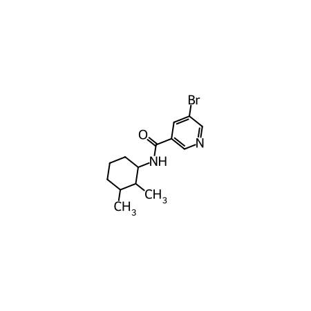 CC1CCCC(NC(=O)c2cncc(Br)c2)C1C